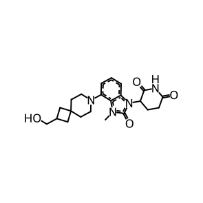 Cn1c(=O)n(C2CCC(=O)NC2=O)c2cccc(N3CCC4(CC3)CC(CO)C4)c21